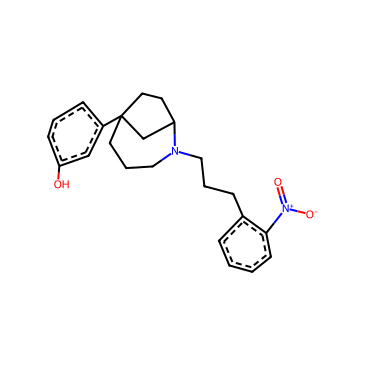 O=[N+]([O-])c1ccccc1CCCN1CCCC2(c3cccc(O)c3)CCC1C2